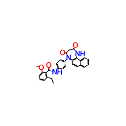 CCc1cccc(OC)c1C(=O)Nc1ccc(N2C(=O)CC(=O)Nc3c2ccc2ccccc32)cc1